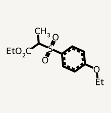 CCOC(=O)C(C)S(=O)(=O)c1ccc(OCC)cc1